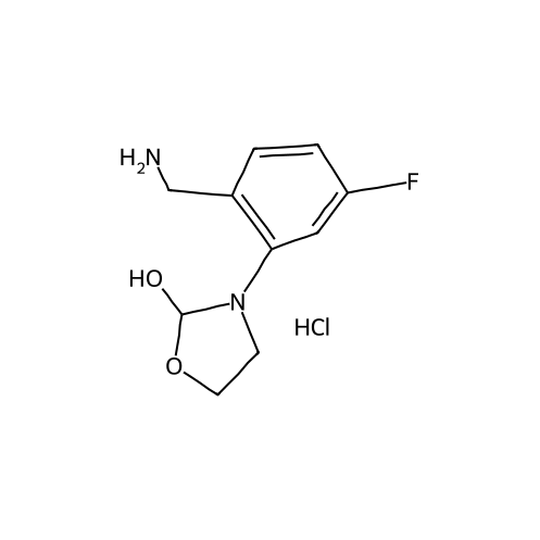 Cl.NCc1ccc(F)cc1N1CCOC1O